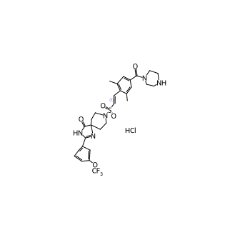 Cc1cc(C(=O)N2CCNCC2)cc(C)c1/C=C/S(=O)(=O)N1CCC2(CC1)N=C(c1cccc(OC(F)(F)F)c1)NC2=O.Cl